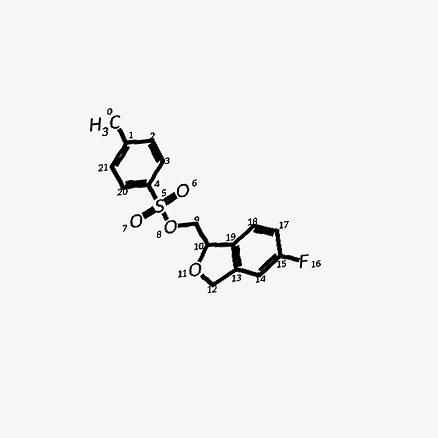 Cc1ccc(S(=O)(=O)OCC2OCc3cc(F)ccc32)cc1